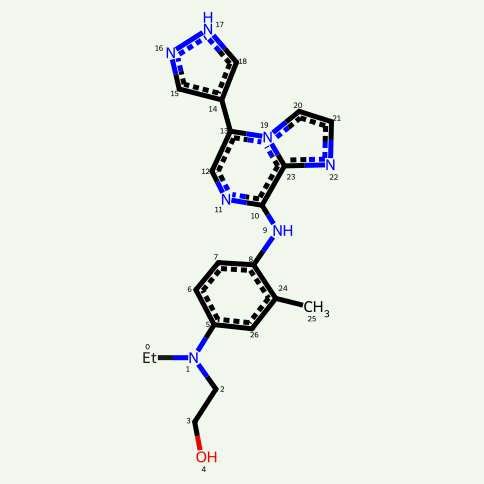 CCN(CCO)c1ccc(Nc2ncc(-c3cn[nH]c3)n3ccnc23)c(C)c1